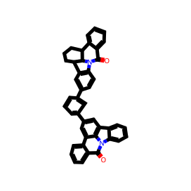 O=C1c2ccccc2C2CCCC3c4cc(-c5cccc(-c6cc7c8ccccc8c(=O)n8c9ccccc9c(c6)c78)c5)ccc4N1C23